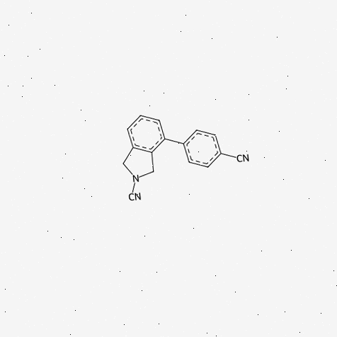 N#Cc1ccc(-c2cccc3c2CN(C#N)C3)cc1